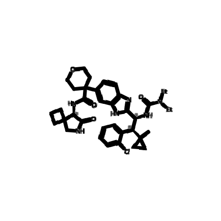 CCN(CC)C(=O)N[C@H](c1nc2ccc(C3(C(=O)N[C@H]4C(=O)NCC45CCC5)CCOCC3)cc2[nH]1)[C@H](c1ccccc1Cl)C1(C)CC1